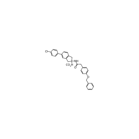 O=C(Cc1ccc(OCc2ccccc2)cc1)NC1(C(=O)O)Cc2ccc(-c3ccc(Cl)cc3)cc2C1